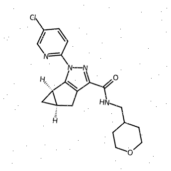 O=C(NCC1CCOCC1)c1nn(-c2ccc(Cl)cn2)c2c1C[C@H]1C[C@@H]21